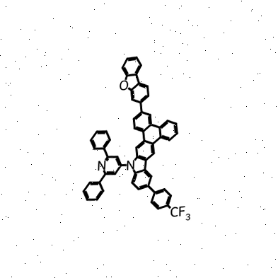 FC(F)(F)c1ccc(-c2ccc3c(c2)c2cc4c5ccccc5c5cc(-c6ccc7c(c6)oc6ccccc67)ccc5c4cc2n3-c2cc(-c3ccccc3)nc(-c3ccccc3)c2)cc1